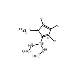 CC1=C(C)C(C)[C]([Ti+2]([NH]C=O)[NH]C=O)=C1C.[Cl-].[Cl-]